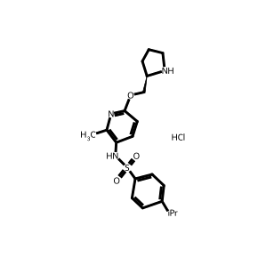 Cc1nc(OC[C@H]2CCCN2)ccc1NS(=O)(=O)c1ccc(C(C)C)cc1.Cl